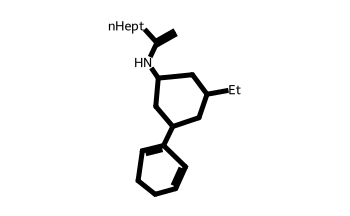 C=C(CCCCCCC)NC1CC(CC)CC(C2=CCCC=C2)C1